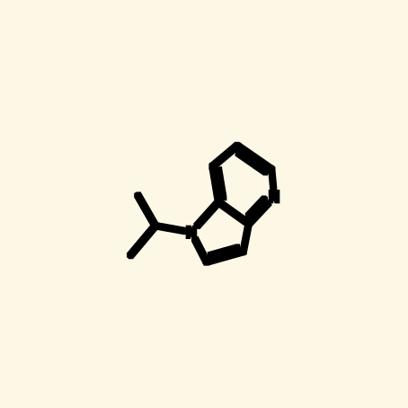 CC(C)n1ccc2ncccc21